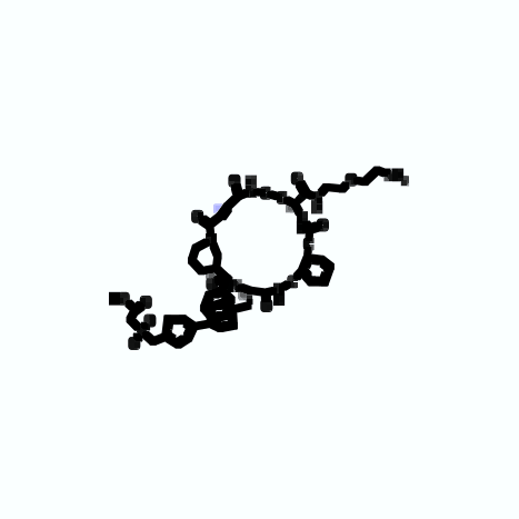 NCCOCCNC(=O)[C@@H]1CCNC(=O)/C=C/C(=O)N2CCC[C@](Cc3ccccc3)(C2)C(=O)N[C@@H](Cc2ccc(-c3ccc(CS(=O)(=O)CC(=O)O)cc3)cc2)C(=O)NCc2ccccc2CC(=O)N1